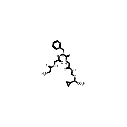 NCC(=O)NCC(=O)N[C@@H](Cc1ccccc1)C(=O)NCC(=O)NCOC(C(=O)O)C1CC1